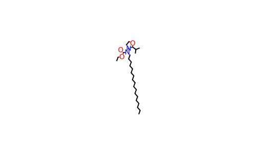 CCCCCCCCCCCCCCCCCCN(C(=O)OCC)N1CCOC1C(C)C